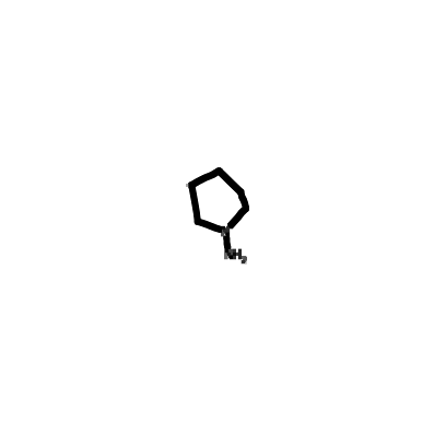 NN1C[CH]CCC1